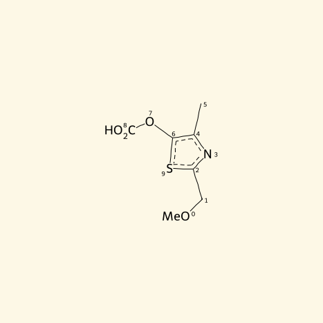 COCc1nc(C)c(OC(=O)O)s1